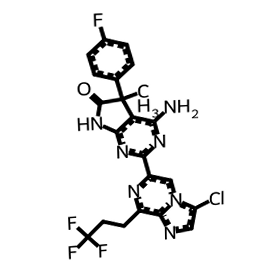 CC1(c2ccc(F)cc2)C(=O)Nc2nc(-c3cn4c(Cl)cnc4c(CCC(F)(F)F)n3)nc(N)c21